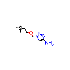 C[Si](C)(C)CCOCn1cc(N)nn1